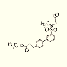 CCOC(=O)CCc1ccc(-c2cccc(S(=O)(=O)N(C)CC3CO3)c2)cc1